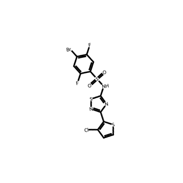 O=S(=O)(Nc1nc(-c2sccc2Cl)ns1)c1cc(F)c(Br)cc1F